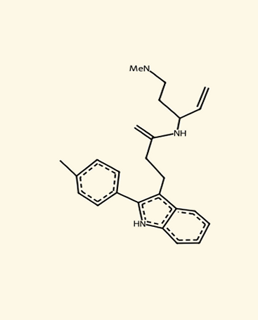 C=CC(CCNC)NC(=C)CCc1c(-c2ccc(C)cc2)[nH]c2ccccc12